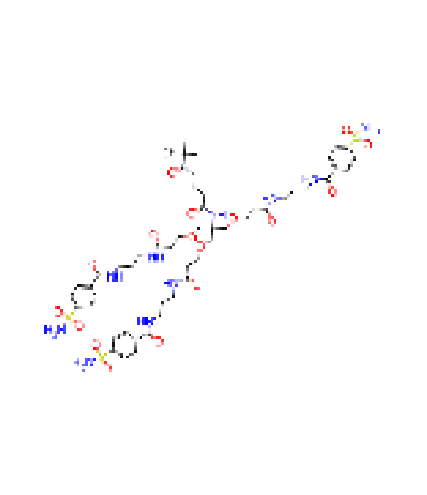 CCC(C)(C)C(=O)CCCC(=O)NC(COCCC(=O)NCCCNC(=O)c1ccc(S(N)(=O)=O)cc1)(COCCC(=O)NCCCNC(=O)c1ccc(S(N)(=O)=O)cc1)COCCC(=O)NCCCNC(=O)c1ccc(S(N)(=O)=O)cc1